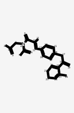 C=C(C)CN(C(=C)C)C(=C)/C(C)=C/c1ccc(CC(=C)C2=CCCC=C2C)cc1